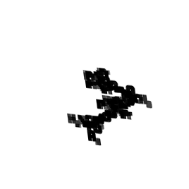 CC(CNCC(C)N(C(C)C)P(OCOCCSC(=O)C(C)(C)CN)N(C(C)C)C(C)C)C(=O)SCCOCOP(N(C(C)C)C(C)C)N(C(C)C)C(C)C